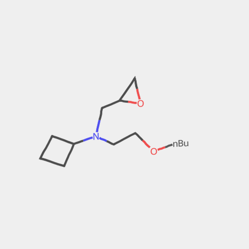 CCCCOCCN(CC1CO1)C1CCC1